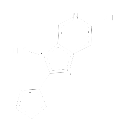 Cn1c(-c2cccs2)nc2cc(C(F)(F)F)ncc21